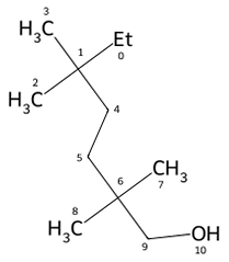 CCC(C)(C)CCC(C)(C)CO